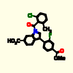 COC(=O)c1ccc(-c2cn(C(=O)c3c(C)cccc3Cl)c3cc(C(=O)O)ccc23)c(F)c1